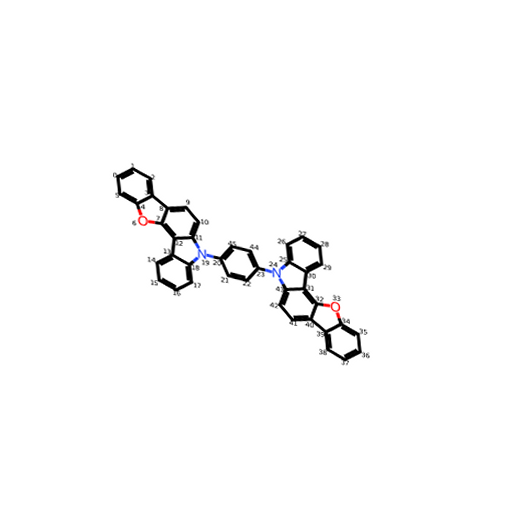 c1ccc2c(c1)oc1c2ccc2c1c1ccccc1n2-c1ccc(-n2c3ccccc3c3c4oc5ccccc5c4ccc32)cc1